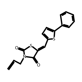 C=CCN1C(=O)S/C(=C\c2ccc(-c3ccccc3)s2)C1=O